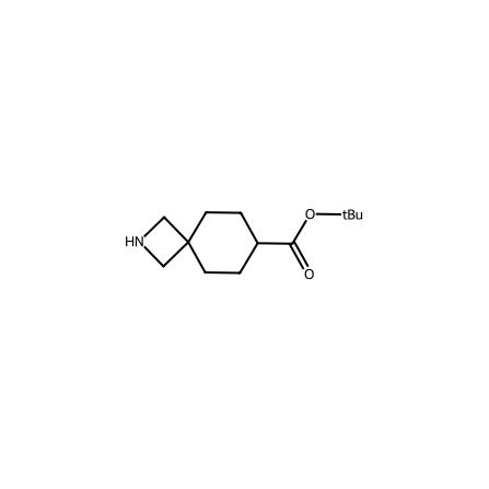 CC(C)(C)OC(=O)C1CCC2(CC1)CNC2